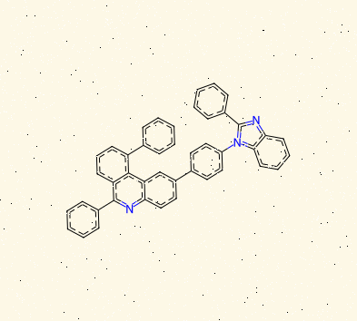 c1ccc(-c2nc3ccc(-c4ccc(-n5c(-c6ccccc6)nc6ccccc65)cc4)cc3c3c(-c4ccccc4)cccc23)cc1